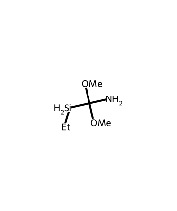 CC[SiH2]C(N)(OC)OC